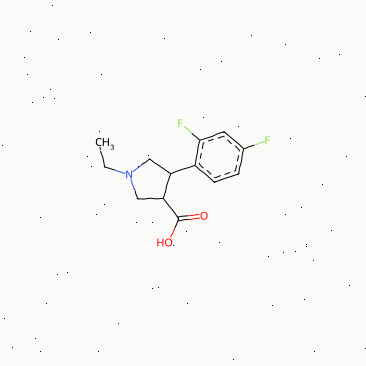 CCN1CC(C(=O)O)C(c2ccc(F)cc2F)C1